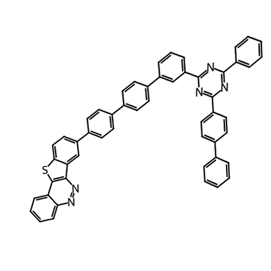 c1ccc(-c2ccc(-c3nc(-c4ccccc4)nc(-c4cccc(-c5ccc(-c6ccc(-c7ccc8sc9c%10ccccc%10nnc9c8c7)cc6)cc5)c4)n3)cc2)cc1